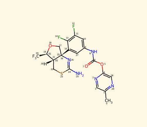 Cc1cnc(OC(=O)Nc2cc(F)c(F)c([C@]34CO[C@H](C(F)(F)F)[C@H]3CSC(N)=N4)c2)cn1